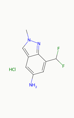 Cl.Cn1cc2cc(N)cc(C(F)F)c2n1